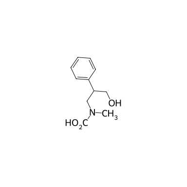 CN(CC(CO)c1ccccc1)C(=O)O